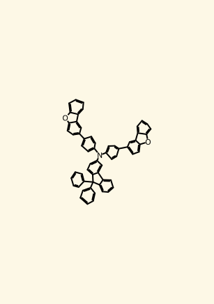 c1ccc(C2(c3ccccc3)c3ccccc3-c3cc(N(c4ccc(-c5ccc6oc7ccccc7c6c5)cc4)c4ccc(-c5ccc6oc7ccccc7c6c5)cc4)ccc32)cc1